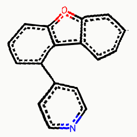 [c]1ccc2c(c1)oc1cccc(-c3ccncc3)c12